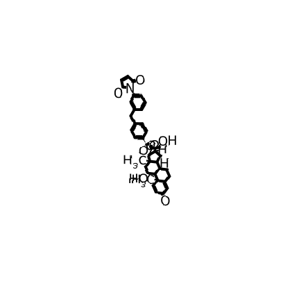 C[C@]12C=CC(=O)C=C1CC[C@@H]1C2[C@@H](O)C[C@@]2(C)C1C[C@H]1O[C@@H](c3ccc(Cc4cccc(N5C(=O)C=CC5=O)c4)cc3)O[C@]12C(=O)CO